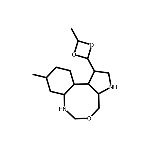 CC1CCC2C(C1)NCOCC1NCC(C3OC(C)O3)C12